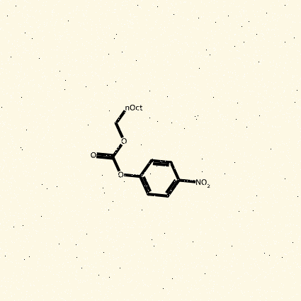 CCCCCCCCCOC(=O)Oc1ccc([N+](=O)[O-])cc1